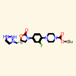 CC(C)(C)OC(=O)N1CCN(c2ccc(N3C[C@H](CN4C=CNN4)OC3=O)cc2F)CC1